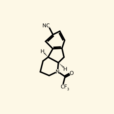 N#Cc1ccc2c(c1)[C@@H]1CCCN(C(=O)C(F)(F)F)[C@@H]1C2